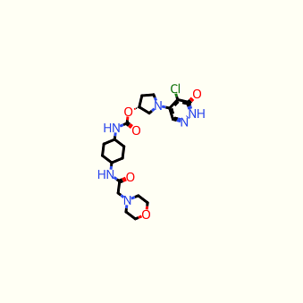 O=C(CN1CCOCC1)NC1CCC(NC(=O)O[C@@H]2CCN(c3cn[nH]c(=O)c3Cl)C2)CC1